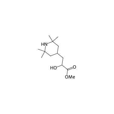 COC(=O)C(O)CC1CC(C)(C)NC(C)(C)C1